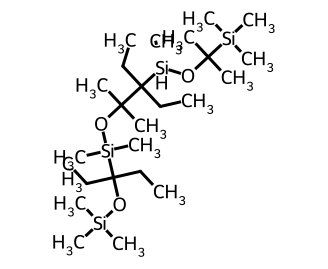 CCC(CC)([SiH](C)OC(C)(C)[Si](C)(C)C)C(C)(C)O[Si](C)(C)C(CC)(CC)O[Si](C)(C)C